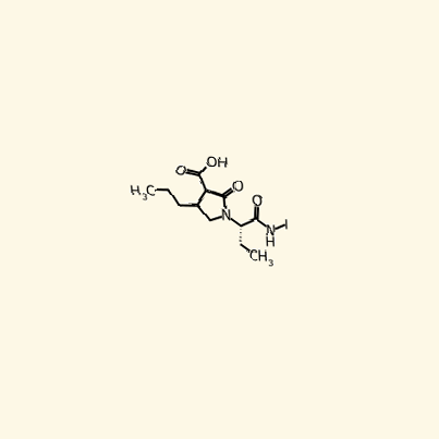 CCCC1CN([C@@H](CC)C(=O)NI)C(=O)C1C(=O)O